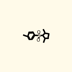 Cc1ccc(S(=O)(=O)C2C(C)CCC2C)cc1